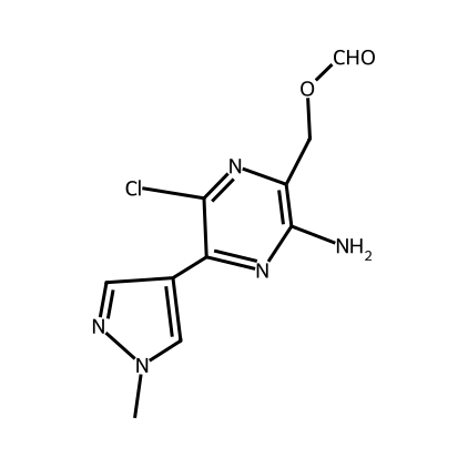 Cn1cc(-c2nc(N)c(COC=O)nc2Cl)cn1